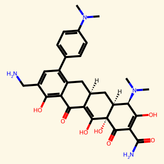 CN(C)c1ccc(-c2cc(CN)c(O)c3c2C[C@H]2C[C@H]4[C@@H](N(C)C)C(O)=C(C(N)=O)C(=O)[C@@]4(O)C(O)=C2C3=O)cc1